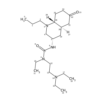 CCCN1C[C@@H](NC(=O)N(CC)CCN(CC)CC)C[C@@H]2CC(=O)CC[C@H]21